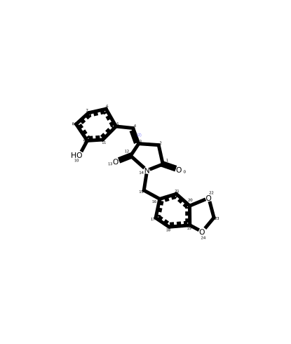 O=C1C/C(=C/c2cccc(O)c2)C(=O)N1Cc1ccc2c(c1)OCO2